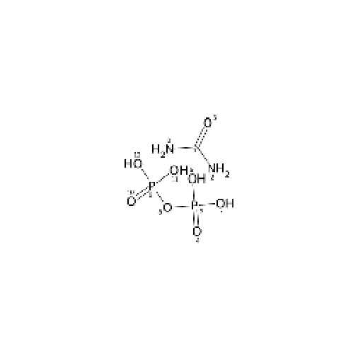 NC(N)=O.O=P(O)(O)OP(=O)(O)O